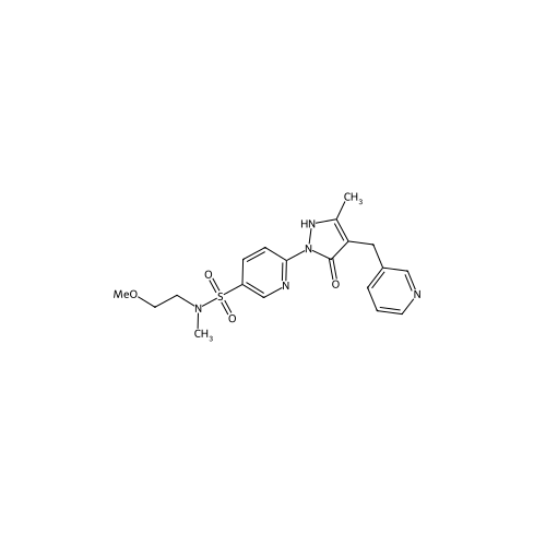 COCCN(C)S(=O)(=O)c1ccc(-n2[nH]c(C)c(Cc3cccnc3)c2=O)nc1